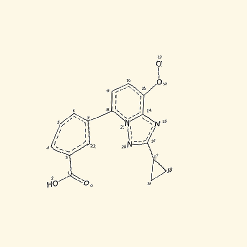 O=C(O)c1cccc(-c2ccc(OCl)c3nc(C4CC4)nn23)c1